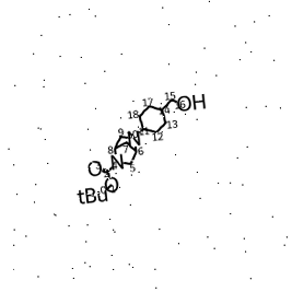 CC(C)(C)OC(=O)N1CC2CC1CN2C1CCC(CO)CC1